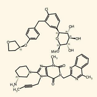 CC#CCn1c(N2CCC[C@@H](N)C2)nc2c1c(=O)n(Cc1nc(C)c3ccccc3n1)c(=O)n2C.CO[C@H]1O[C@@H](c2ccc(Cl)c(Cc3ccc(O[C@H]4CCOC4)cc3)c2)[C@H](O)[C@@H](O)[C@@H]1O